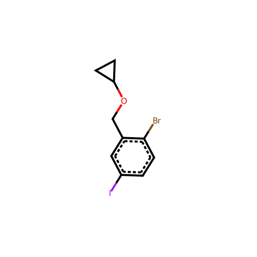 Brc1ccc(I)cc1COC1CC1